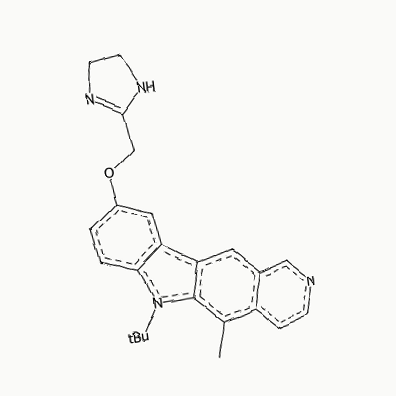 Cc1c2ccncc2cc2c3cc(OCC4=NCCN4)ccc3n(C(C)(C)C)c12